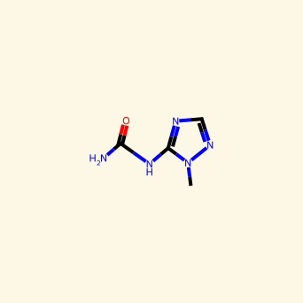 Cn1ncnc1NC(N)=O